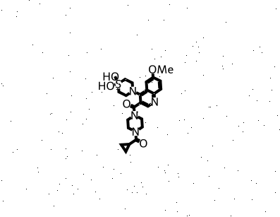 COc1ccc2ncc(C(=O)N3CCN(C(=O)C4CC4)CC3)c(N3CCS(O)(O)CC3)c2c1